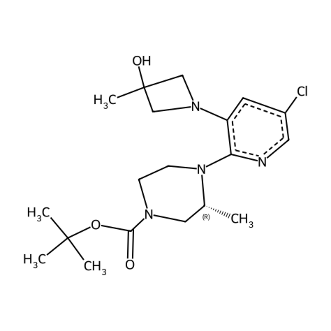 C[C@@H]1CN(C(=O)OC(C)(C)C)CCN1c1ncc(Cl)cc1N1CC(C)(O)C1